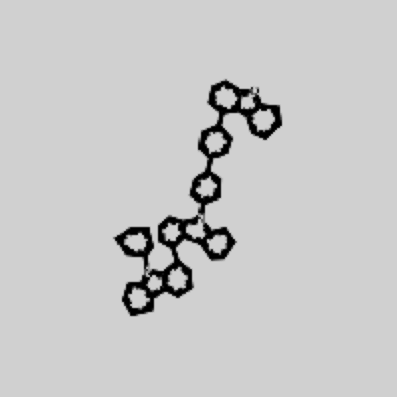 c1ccc(-n2c3ccccc3c3cccc(-c4cccc5c4c4ccccc4n5-c4ccc(-c5ccc(-c6cccc7oc8ccccc8c67)cc5)cc4)c32)cc1